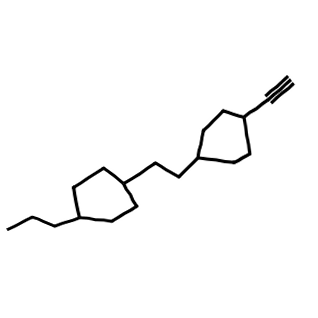 C#CC1CCC(CCC2CCC(CCC)CC2)CC1